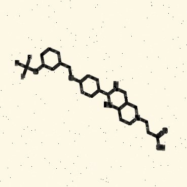 O=C(O)CCN1CCC2NC(C3CCC(OCC4CCCC(OC(F)(F)F)C4)CC3)NCC2C1